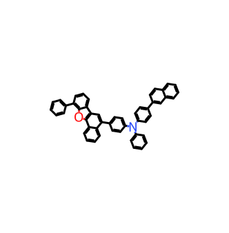 c1ccc(-c2cccc3c2oc2c4ccccc4c(-c4ccc(N(c5ccccc5)c5ccc(-c6ccc7ccccc7c6)cc5)cc4)cc32)cc1